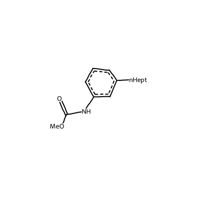 [CH2]OC(=O)Nc1cccc(CCCCCCC)c1